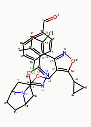 Cc1cc(C=O)ccc1-c1nnc(N2C3CCC2CC(OCc2c(-c4c(Cl)cccc4Cl)noc2C2CC2)C3)o1